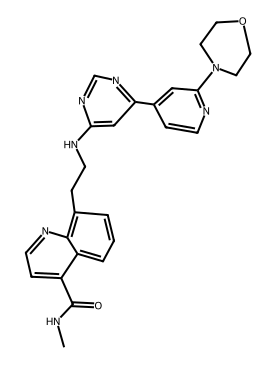 CNC(=O)c1ccnc2c(CCNc3cc(-c4ccnc(N5CCOCC5)c4)ncn3)cccc12